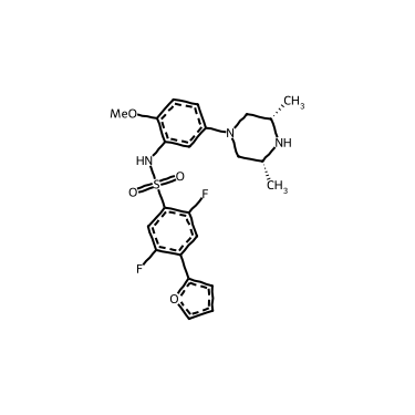 COc1ccc(N2C[C@@H](C)N[C@@H](C)C2)cc1NS(=O)(=O)c1cc(F)c(-c2ccco2)cc1F